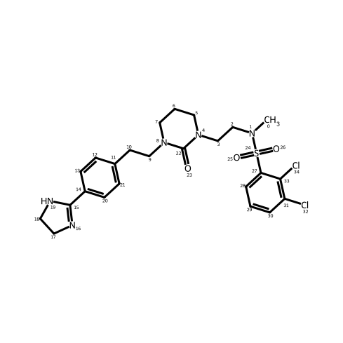 CN(CCN1CCCN(CCc2ccc(C3=NCCN3)cc2)C1=O)S(=O)(=O)c1cccc(Cl)c1Cl